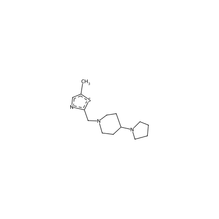 Cc1cnc(CN2CCC(N3CCCC3)CC2)s1